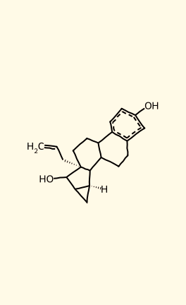 C=CC[C@]12CCC3c4ccc(O)cc4CCC3C1[C@H]1CC1C2O